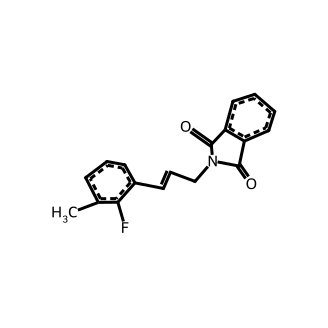 Cc1cccc(C=CCN2C(=O)c3ccccc3C2=O)c1F